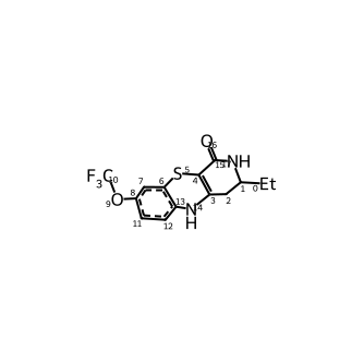 CCC1CC2=C(Sc3cc(OC(F)(F)F)ccc3N2)C(=O)N1